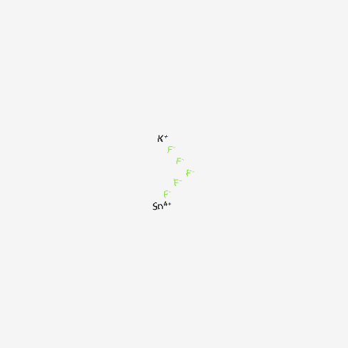 [F-].[F-].[F-].[F-].[F-].[K+].[Sn+4]